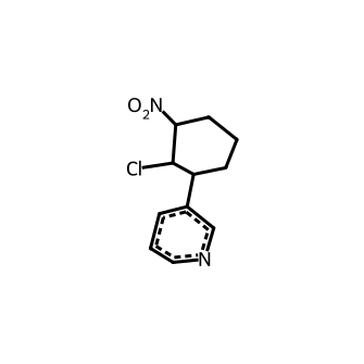 O=[N+]([O-])C1CCCC(c2cccnc2)C1Cl